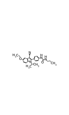 CCCNC(=O)Nc1ccc(-c2c(C#N)c3cc(OCC)ccc3n2C(C)C)cc1